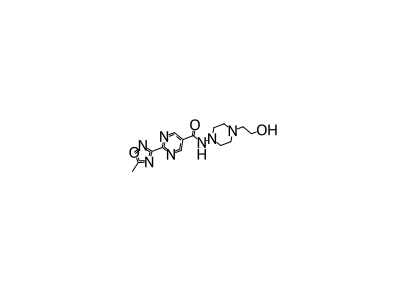 Cc1nc(-c2ncc(C(=O)NN3CCN(CCO)CC3)cn2)no1